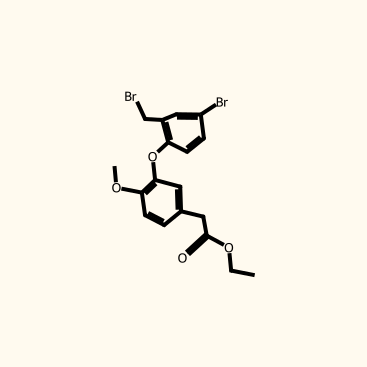 CCOC(=O)Cc1ccc(OC)c(Oc2ccc(Br)cc2CBr)c1